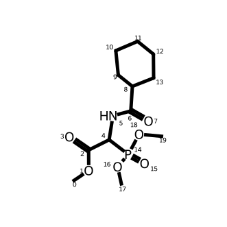 COC(=O)C(NC(=O)C1CCCCC1)P(=O)(OC)OC